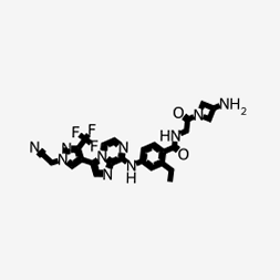 CCc1cc(Nc2nccn3c(-c4cn(CC#N)nc4C(F)(F)F)cnc23)ccc1C(=O)NCC(=O)N1CC(N)C1